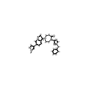 Cn1cc(-c2ccc3c(N4CCC(=O)N(c5ncn(Cc6ccccc6)n5)CC4)cnn3c2)cn1